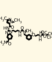 CCn1nc(C)cc1C(=O)Nc1nc2cc(C(N)=O)ccc2n1CCCNC(=O)N(C)Cc1cccc(OCCNC(=O)OC(C)(C)C)c1